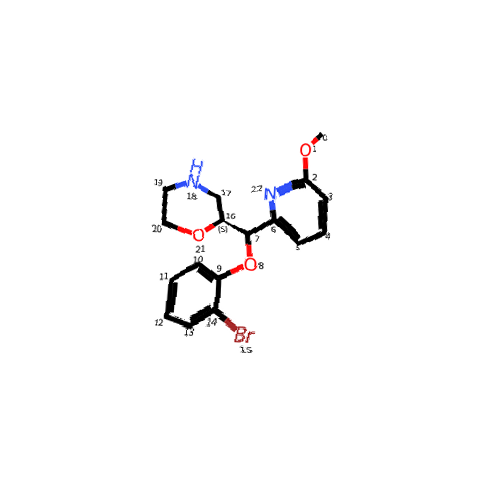 COc1cccc(C(Oc2ccccc2Br)[C@@H]2CNCCO2)n1